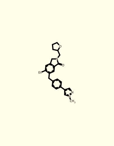 CCc1cc2c(cc1Cc1ccc(-c3cnn(C)c3)cc1)C(=O)N(CC1CCCO1)C2